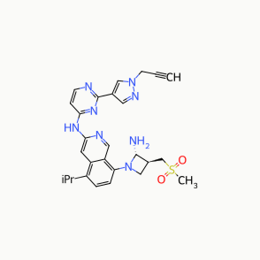 C#CCn1cc(-c2nccc(Nc3cc4c(C(C)C)ccc(N5C[C@H](CS(C)(=O)=O)[C@H]5N)c4cn3)n2)cn1